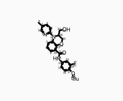 Cc1ccc(N2c3cccc(C(=O)Nc4ccc(OC(C)(C)C)c(F)c4)c3OCC2CO)nc1